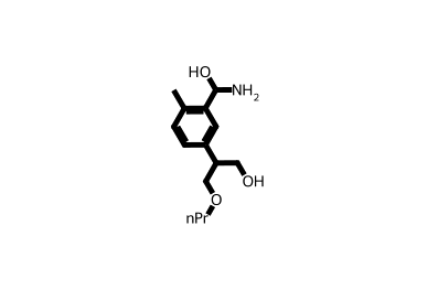 CCCOCC(CO)c1ccc(C)c(C(N)O)c1